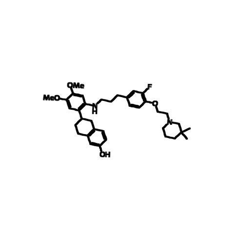 COc1cc(NCCCc2ccc(OCCN3CCCC(C)(C)C3)c(F)c2)c(C2CCc3cc(O)ccc3C2)cc1OC